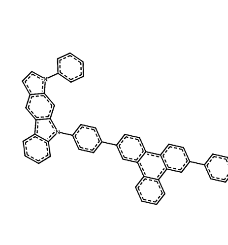 c1ccc(-c2ccc3c4ccc(-c5ccc(-n6c7ccccc7c7cc8ccn(-c9ccccc9)c8cc76)cc5)cc4c4ccccc4c3c2)cc1